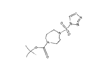 CC(C)(C)OC(=O)N1CCN(S(=O)(=O)n2ccnn2)CC1